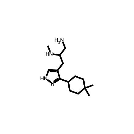 CNC(CN)Cc1c[nH]nc1C1CCC(C)(C)CC1